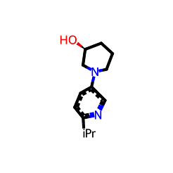 CC(C)c1ccc(N2CCC[C@H](O)C2)cn1